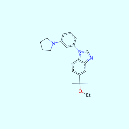 CCOC(C)(C)c1ccc2c(c1)ncn2-c1cccc(N2CCCC2)c1